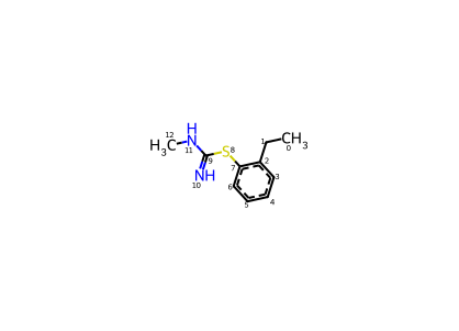 CCc1ccccc1SC(=N)NC